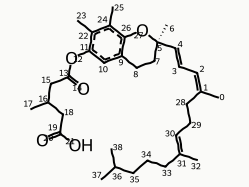 CC(=CC=C[C@@]1(C)CCc2cc(OC(=O)CC(C)CC(=O)O)c(C)c(C)c2O1)CC/C=C(\C)CCCC(C)C